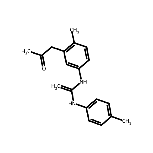 C=C(Nc1ccc(C)cc1)Nc1ccc(C)c(CC(C)=O)c1